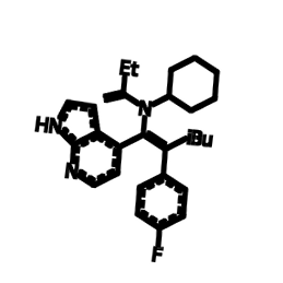 C=C(CC)N(/C(=C(/c1ccc(F)cc1)C(C)CC)c1ccnc2[nH]ccc12)C1CCCCC1